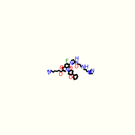 CN(C)CCCCCC(=O)c1cn2c3c(c(N4CC[C@@H](NC(=O)CCNCCCN5C=NCC5)C4)c(F)cc3c1=O)Oc1cc3c(cc1-2)oc1ccccc13